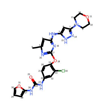 Cc1cc(Nc2cc(N3CCOCC3)n[nH]2)nc(Oc2ccc(NC(=O)Nc3ccco3)cc2Cl)n1